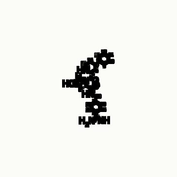 C[C@H](NC(=O)[C@H]1C[C@H](c2ccccc2)CCN1)C(=O)NCc1ccc(C(=N)N)cc1.Cl.Cl